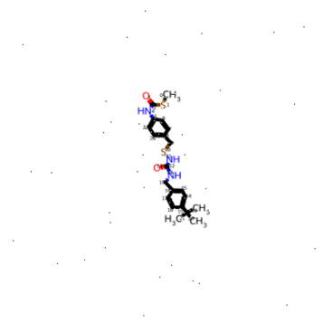 CSC(=O)Nc1ccc(CSNC(=O)NCc2ccc(C(C)(C)C)cc2)cc1